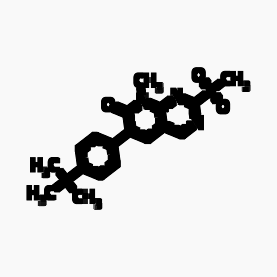 Cn1c(=O)c(-c2ccc(C(C)(C)C)cc2)cc2cnc(S(C)(=O)=O)nc21